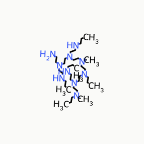 CCCNCCN(CCN)CCN(CCNCCC)CCN(C)CCN(CCC)CCN(CCNCCC)CCN(C)CCC